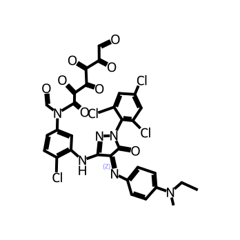 CCN(C)c1ccc(/N=C2\C(=O)N(c3c(Cl)cc(Cl)cc3Cl)N=C2Nc2cc(N(C=O)C(=O)C(=O)C(=O)C(=O)C(=O)C=O)ccc2Cl)cc1